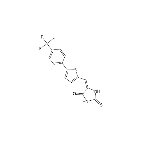 O=C1NC(=S)NC1=Cc1ccc(-c2ccc(C(F)(F)F)cc2)s1